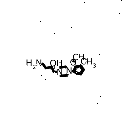 COc1c(C)cccc1N1CCN(C[C@H](O)CCN)CC1